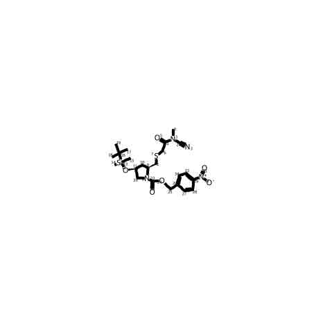 CN(C#N)C(=O)CSC[C@@H]1C[C@H](O[Si](C)(C)C(C)(C)C)CN1C(=O)OCc1ccc([N+](=O)[O-])cc1